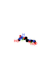 COc1nc(N[C@@H]2CCc3c(-c4cccc(-c5nc6cc(CN7CC[C@@H](C(=O)O)C7)cc(F)c6o5)c4C)cccc32)c(C(F)(F)F)nc1CN1CC[C@@H](O)C1